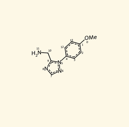 COc1ccc(-n2ncnc2CN)cc1